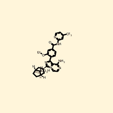 CCOc1cc(C(=O)Nc2cc(C(F)(F)F)ccn2)ccc1-c1nc([C@@H]2C[C@H]3CC[C@@H](C2)[C@H]3C(=O)O)n2ccnc(N)c12